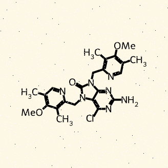 COc1c(C)cnc(Cn2c(=O)n(Cc3ncc(C)c(OC)c3C)c3c(Cl)nc(N)nc32)c1C